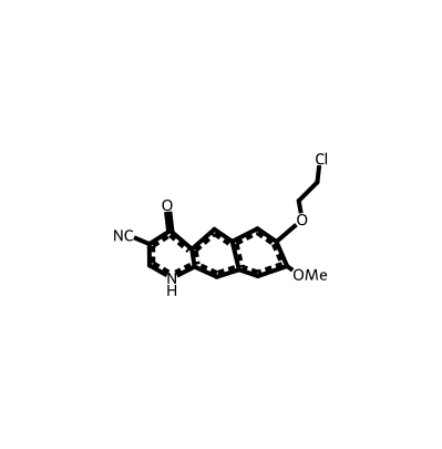 COc1cc2cc3[nH]cc(C#N)c(=O)c3cc2cc1OCCCl